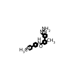 Cc1ccc(C(=O)Nc2ccc(C3CCN(C)CC3)cc2)cc1-c1ccc2nc(N)ncc2c1